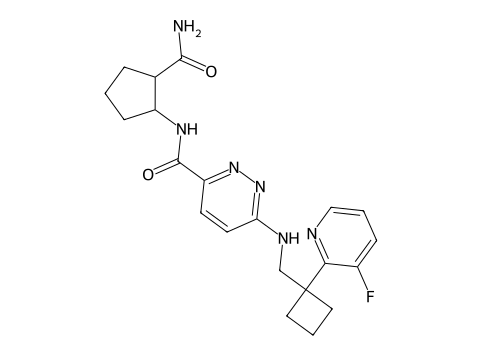 NC(=O)C1CCCC1NC(=O)c1ccc(NCC2(c3ncccc3F)CCC2)nn1